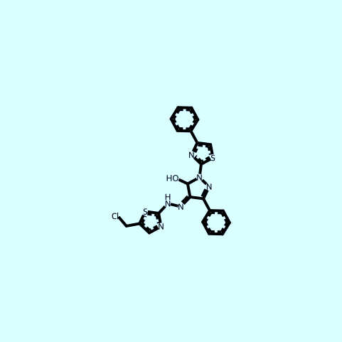 OC1/C(=N\Nc2ncc(CCl)s2)C(c2ccccc2)=NN1c1nc(-c2ccccc2)cs1